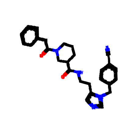 N#Cc1ccc(Cn2cncc2CCNC(=O)C2CCCN(C(=O)Cc3ccccc3)C2)cc1